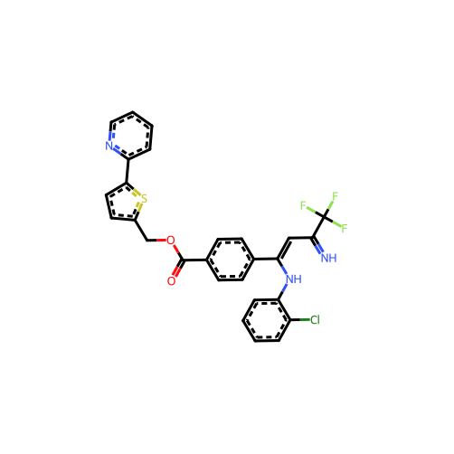 N=C(/C=C(\Nc1ccccc1Cl)c1ccc(C(=O)OCc2ccc(-c3ccccn3)s2)cc1)C(F)(F)F